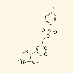 CC1=CN=c2c(ccc3c2=CC(COS(=O)(=O)c2ccc(C)cc2)OO3)N1